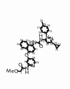 COCC(=O)Nc1cc(Oc2ccc(NC(=O)Nc3cc(C4CC4)nn3-c3ccc(C)cc3)c3ccccc23)ccn1